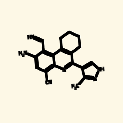 N#Cc1cc(N)c(C=N)c2c3c(c(-c4c[nH]nc4C(F)(F)F)nc12)CCCC3